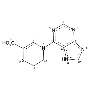 O=C(O)C1=CN(c2ncnc3nc[nH]c23)CCS1